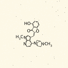 CN1CC2CC1CN2c1ccnc2c1c(C=C1Oc3cccc(O)c3C1=O)cn2C